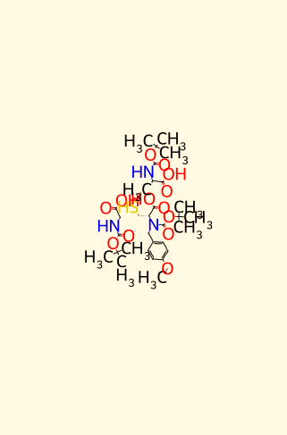 CC(C)(C)OC(=O)NCC(=O)O.COc1ccc(CN(C(=O)OC(C)(C)C)[C@H](CS)C(=O)O)cc1.C[C@@H](NC(=O)OC(C)(C)C)C(=O)O